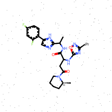 CC(C)c1noc(NC(CC(=O)N2CCCC[C@@H]2C)C(=O)NC(C)c2ncc(-c3ccc(F)cc3F)[nH]2)n1